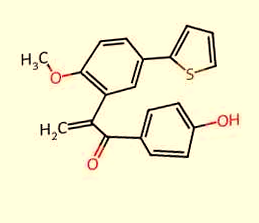 C=C(C(=O)c1ccc(O)cc1)c1cc(-c2cccs2)ccc1OC